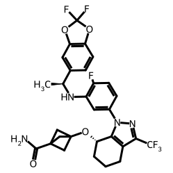 C[C@H](Nc1cc(-n2nc(C(F)(F)F)c3c2[C@@H](OC24CC(C(N)=O)(C2)C4)CCC3)ccc1F)c1ccc2c(c1)OC(F)(F)O2